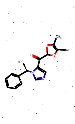 CC(=O)C1=C(C)OC(C(=O)c2cncn2[C@H](C)c2ccccc2)O1